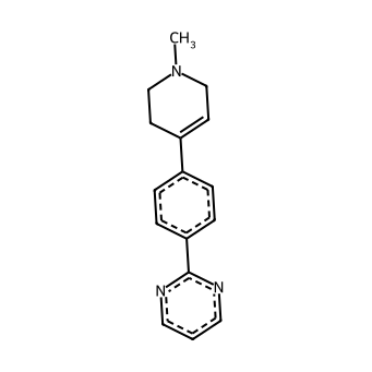 CN1CC=C(c2ccc(-c3ncccn3)cc2)CC1